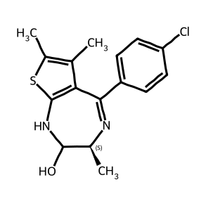 Cc1sc2c(c1C)C(c1ccc(Cl)cc1)=N[C@@H](C)C(O)N2